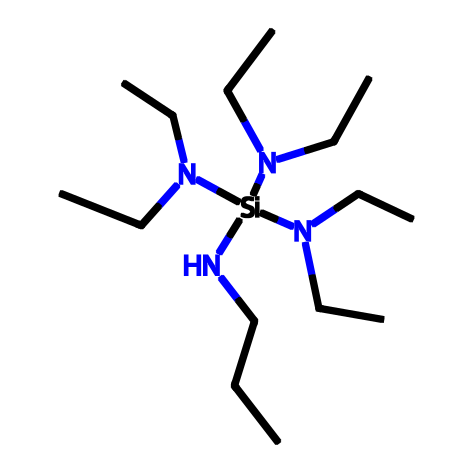 CCCN[Si](N(CC)CC)(N(CC)CC)N(CC)CC